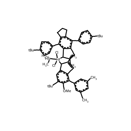 COc1c(C(C)(C)C)cc2c(c1-c1cc(C)cc(C)c1)C=C(C)[CH]2[Hf]([Cl])([Cl])([CH]1C(C)=Cc2c(-c3ccc(C(C)(C)C)cc3)c3c(c(-c4ccc(C(C)(C)C)cc4)c21)CCC3)[SiH](C)C